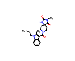 COCCn1c(C)c(C(=O)N2CCC3(CC2)NC(=O)N(C)C3=O)c2ccccc21